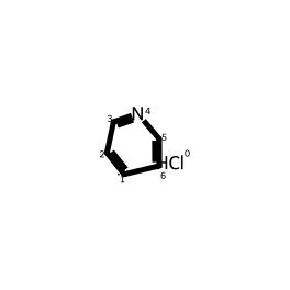 Cl.[c]1ccncc1